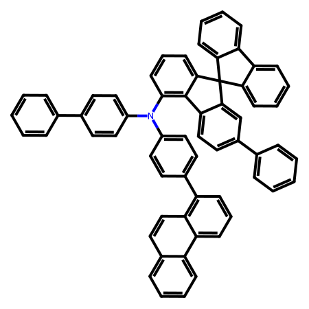 c1ccc(-c2ccc(N(c3ccc(-c4cccc5c4ccc4ccccc45)cc3)c3cccc4c3-c3ccc(-c5ccccc5)cc3C43c4ccccc4-c4ccccc43)cc2)cc1